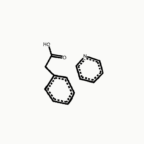 O=C(O)Cc1ccccc1.c1ccncc1